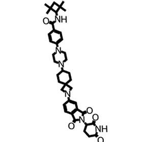 CC1(C)CC(C)(C)C1NC(=O)c1ccc(N2CCN(C3CCC4(CC3)CN(c3ccc5c(c3)C(=O)N(C3CCC(=O)NC3=O)C5=O)C4)CC2)cc1